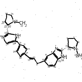 BN1CCC[C@H]1c1nc2cc(CC=Cc3ccc(-c4cnc([C@@H]5CCCN5C)[nH]4)cc3)ccc2[nH]1